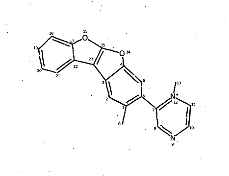 Cc1cc2c(cc1-c1cncc[n+]1C)oc1oc3ccccc3c12